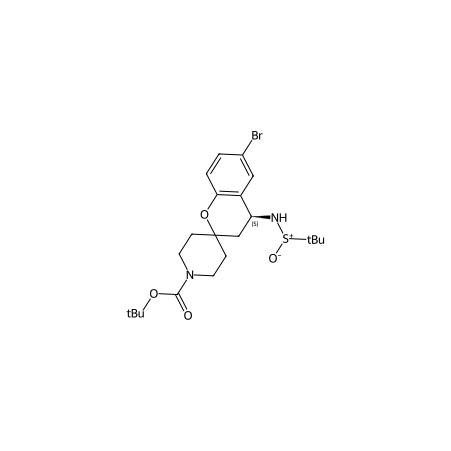 CC(C)(C)OC(=O)N1CCC2(CC1)C[C@H](N[S+]([O-])C(C)(C)C)c1cc(Br)ccc1O2